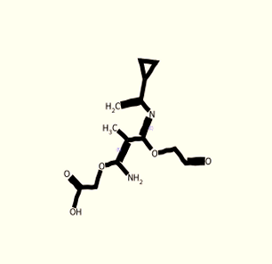 C=C(/N=C(OCC=O)\C(C)=C(/N)OCC(=O)O)C1CC1